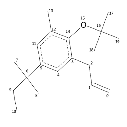 C=CCc1cc(C(C)(C)CC)cc(C)c1OC(C)(C)C